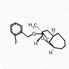 C[C@@]12C[C@H]3CCCC[C@@H](O1)C3C[C@@H]2OCc1ccccc1F